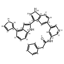 O=C(Cc1ccccc1)Nc1cncc(-c2cnc3[nH]nc(-c4cc5c(-c6ccsc6)cccc5[nH]4)c3c2)c1